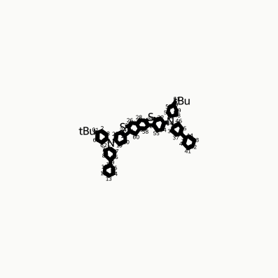 CC(C)(C)c1ccc(N(c2ccc(-c3ccccc3)cc2)c2ccc3c(c2)sc2cc4cc5sc6cc(N(c7ccc(-c8ccccc8)cc7)c7ccc(C(C)(C)C)cc7)ccc6c5cc4cc23)cc1